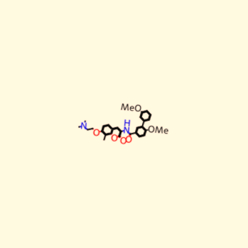 COc1cccc(-c2cc(C(=O)Nc3cc4ccc(OCCN(C)C)c(C)c4oc3=O)ccc2OC)c1